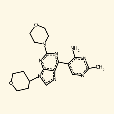 Cc1ncc(-c2nc(N3CCOCC3)nc3c2ncn3C2CCOCC2)c(N)n1